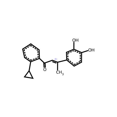 C/C(=C\C(=O)c1ccccc1C1CC1)c1ccc(O)c(O)c1